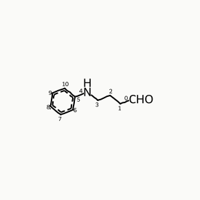 O=CCCCNc1cc[c]cc1